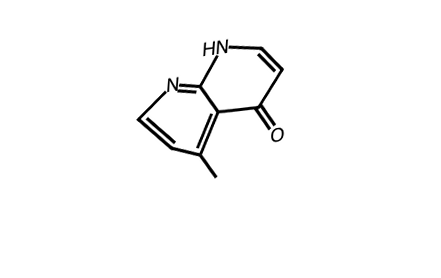 Cc1ccnc2[nH]ccc(=O)c12